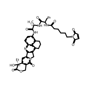 CC[C@@]1(O)C(=O)OCc2c1cc1n(c2=O)Cc2c-1nc1ccc(NC(=O)[C@H](C)NC(=O)C(NC(=O)CCCCCN3C(=O)C=CC3=O)C(C)C)c3c1c2CCC3